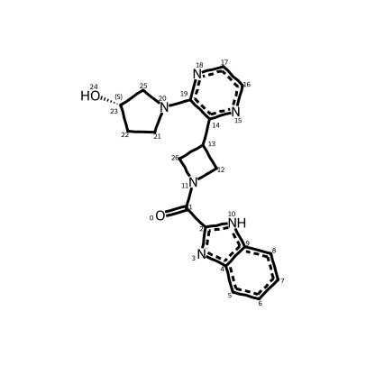 O=C(c1nc2ccccc2[nH]1)N1CC(c2nccnc2N2CC[C@H](O)C2)C1